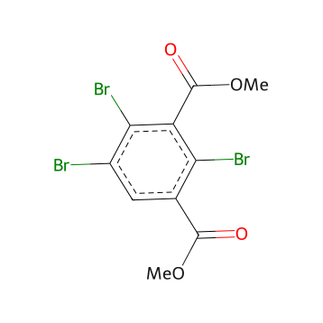 COC(=O)c1cc(Br)c(Br)c(C(=O)OC)c1Br